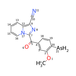 COc1cc(C(=O)c2nc(C#N)c3ccccn23)ccc1[AsH2]